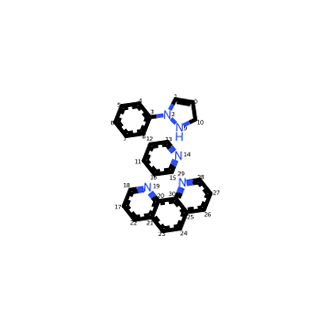 C1=CN(c2ccccc2)NC1.c1ccncc1.c1cnc2c(c1)ccc1cccnc12